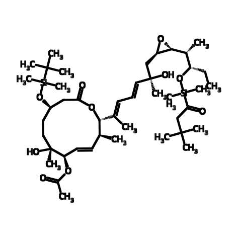 CC[C@H](O[Si](C)(C)C(=O)CC(C)(C)C)[C@@H](C)[C@H]1O[C@@H]1C[C@@](C)(O)/C=C/C=C(\C)[C@H]1OC(=O)C[C@H](O[Si](C)(C)C(C)(C)C)CC[C@@](C)(O)[C@H](OC(C)=O)/C=C/[C@@H]1C